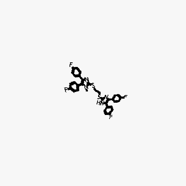 Cn1c(SCCSc2nc(-c3ccc(F)cc3)c(-c3ccc(F)cc3)[nH]2)nc(-c2ccc(F)cc2)c1-c1ccc(F)cc1